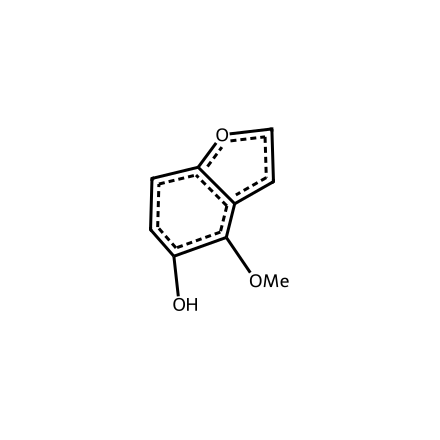 COc1c(O)ccc2occc12